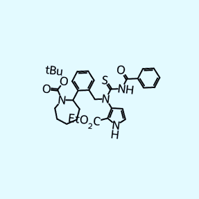 CCOC(=O)c1[nH]ccc1N(Cc1ccccc1C1CCCCCN1C(=O)OC(C)(C)C)C(=S)NC(=O)c1ccccc1